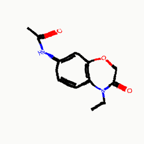 CCN1C(=O)COc2cc(NC(C)=O)ccc21